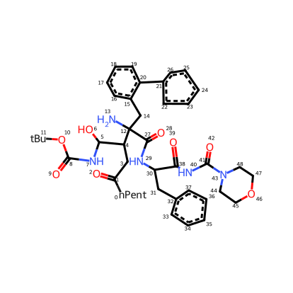 CCCCCC(=O)CC(C(O)NC(=O)OC(C)(C)C)C(N)(Cc1ccccc1-c1ccccc1)C(=O)NC(Cc1ccccc1)C(=O)NC(=O)N1CCOCC1